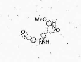 COc1ccc2c(c1)CC(c1ccc3c(-c4ccc(CN5CCOCC5)cc4)n[nH]c3c1)CCC(=O)N2